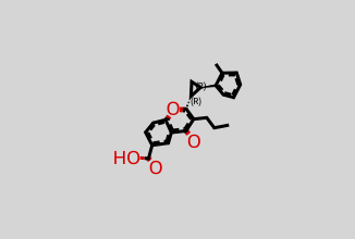 CCCc1c([C@@H]2C[C@H]2c2ccccc2C)oc2ccc(C(=O)O)cc2c1=O